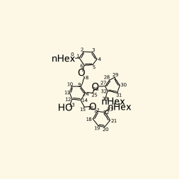 CCCCCCc1ccccc1OCc1ccc(O)c(COc2ccccc2CCCCCC)c1COc1ccccc1CCCCCC